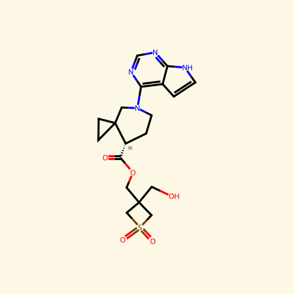 O=C(OCC1(CO)CS(=O)(=O)C1)[C@H]1CCN(c2ncnc3[nH]ccc23)CC12CC2